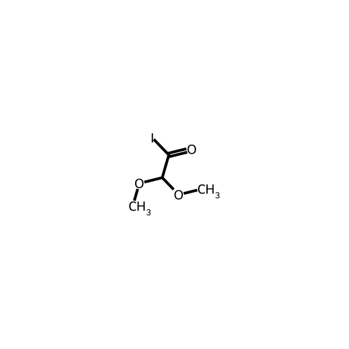 COC(OC)C(=O)I